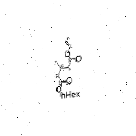 C=COC(=O)CC(C)CC(=O)OCCCCCC